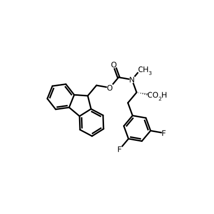 CN(C(=O)OCC1c2ccccc2-c2ccccc21)[C@@H](Cc1cc(F)cc(F)c1)C(=O)O